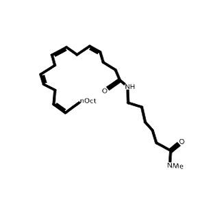 CCCCCCCC/C=C\C/C=C\C/C=C\C/C=C\CCC(=O)NCCCCCC(=O)NC